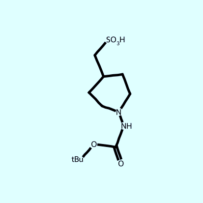 CC(C)(C)OC(=O)NN1CCC(CS(=O)(=O)O)CC1